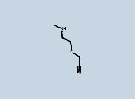 C#CCOCCNC